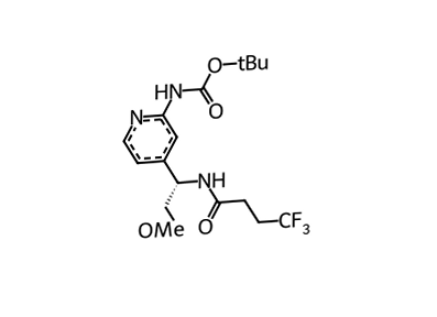 COC[C@@H](NC(=O)CCC(F)(F)F)c1ccnc(NC(=O)OC(C)(C)C)c1